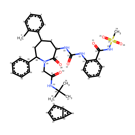 Cc1ccccc1C1CC(NC(=O)Nc2ccccc2C(=O)NS(C)(=O)=O)C(=O)N(CC(=O)NC(C)(C)C)C(c2ccccc2)C1.c1cc2cc-2c1